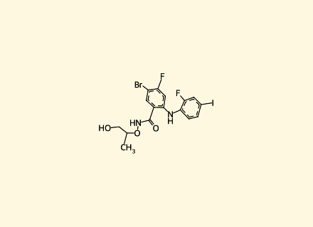 CC(CO)ONC(=O)c1cc(Br)c(F)cc1Nc1ccc(I)cc1F